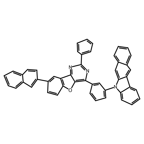 c1ccc(-c2nc(-c3cccc(-n4c5ccccc5c5cc6ccccc6cc54)c3)c3oc4ccc(-c5ccc6ccccc6c5)cc4c3n2)cc1